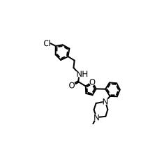 CN1CCN(c2ccccc2-c2ccc(C(=O)NCCc3ccc(Cl)cc3)o2)CC1